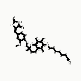 COc1cc(C=C2SC(=O)NC2=O)ccc1OCC1(C)CCc2c(C)c(OCCCCCCC#N)c(C)c(C)c2O1